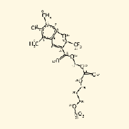 Cc1cc2c(c(C)c1Cl)C=C(C(=O)OCOC(=O)OCCCO[N+](=O)[O-])C(C(F)(F)F)O2